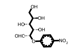 O=C[C@@H](Oc1ccc([N+](=O)[O-])cc1)[C@@H](O)[C@H](O)[C@H](O)CO